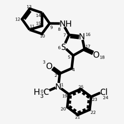 CN(C(=O)CC1SC(NC2CC3C=CC2C3)=NC1=O)c1cccc(Cl)c1